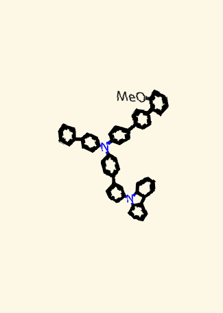 COc1ccccc1-c1ccc(-c2ccc(N(c3ccc(-c4ccccc4)cc3)c3ccc(-c4cccc(N5c6ccccc6C6C=CC=CC65)c4)cc3)cc2)cc1